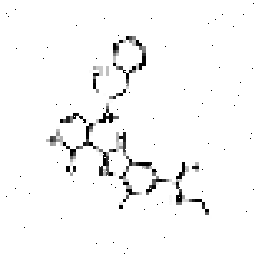 CCNC(=N)c1cc(C)c2nc(-c3c(N[C@H](CO)Cc4ccccc4)cc[nH]c3=O)[nH]c2c1